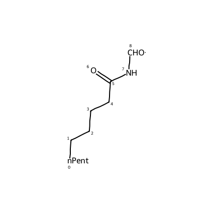 CCCCCCCCCC(=O)N[C]=O